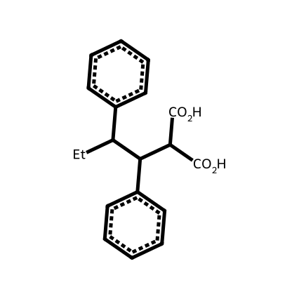 CCC(c1ccccc1)C(c1ccccc1)C(C(=O)O)C(=O)O